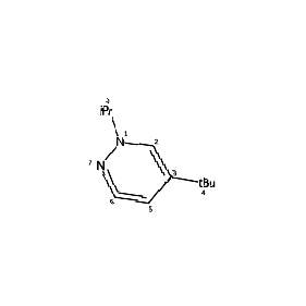 CC(C)N1C=C(C(C)(C)C)C=C=N1